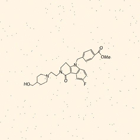 COC(=O)c1ccc(Cn2c3c(c4cc(F)ccc42)C(=O)N(CCN2CCC(CO)CC2)CC3)cc1